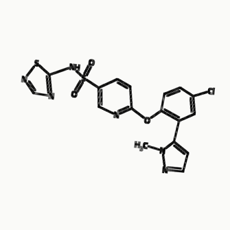 Cn1nccc1-c1cc(Cl)ccc1Oc1ccc(S(=O)(=O)Nc2ncns2)cn1